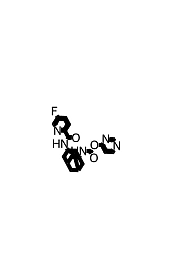 O=C(NC12CC3CC(C1)CC(NC(=O)c1ccc(F)cn1)(C3)C2)Oc1ccncn1